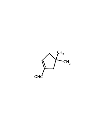 CC1(C)CC=C(C=O)C1